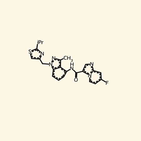 Cc1nn(Cc2csc(C(C)C)n2)c2cccc(NC(=O)c3cnc4cc(F)ccn34)c12